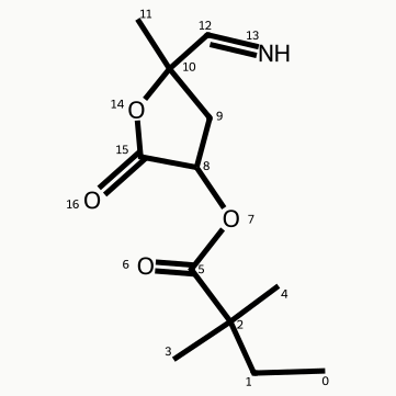 CCC(C)(C)C(=O)OC1CC(C)(C=N)OC1=O